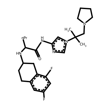 CCCC(NC1CCc2cc(F)cc(F)c2C1)C(=O)Nc1cn(C(C)(C)CN2CCCC2)cn1